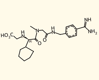 CN(CC(=O)NCc1ccc(C(=N)N)cc1)C(=O)[C@H](NCC(=O)O)C1CCCCC1